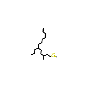 C=C/C=C\CCCC(CCC)CCC(C)CCSC